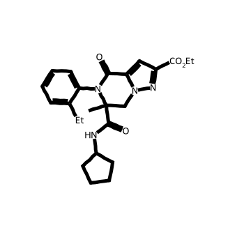 CCOC(=O)c1cc2n(n1)CC(C)(C(=O)NC1CCCC1)N(c1ccccc1CC)C2=O